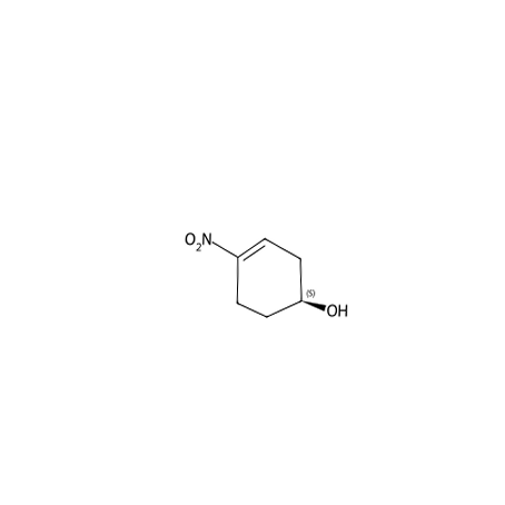 O=[N+]([O-])C1=CC[C@@H](O)CC1